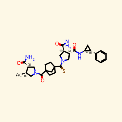 CC(=O)[C@@H]1CN(C(=O)C23CCC(C(=S)N4C[C@@H](C(N)=O)[C@H](C(=O)N[C@H]5C[C@@H]5c5ccccc5)C4)(CC2)C3)C[C@H]1C(N)=O